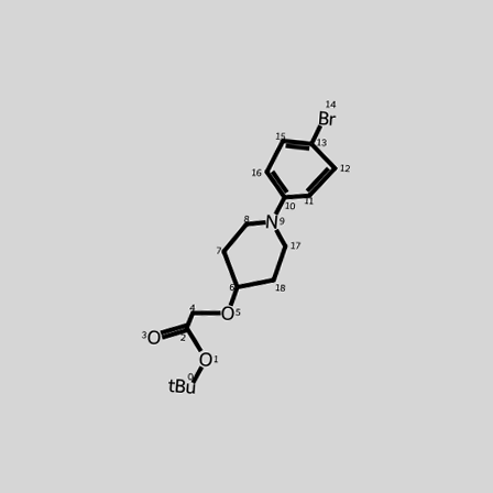 CC(C)(C)OC(=O)COC1CCN(c2ccc(Br)cc2)CC1